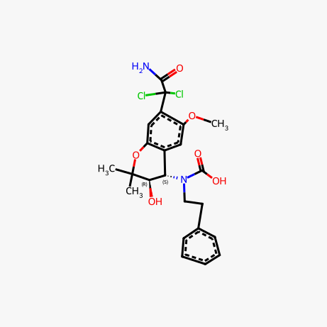 COc1cc2c(cc1C(Cl)(Cl)C(N)=O)OC(C)(C)[C@H](O)[C@H]2N(CCc1ccccc1)C(=O)O